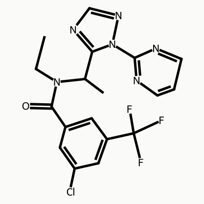 CCN(C(=O)c1cc(Cl)cc(C(F)(F)F)c1)C(C)c1ncnn1-c1ncccn1